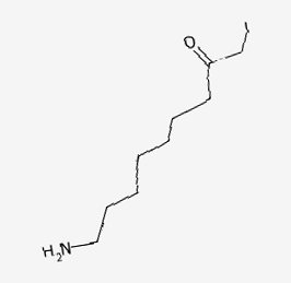 NCCCCCCCC(=O)CI